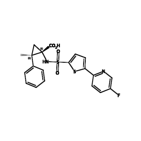 C[C@]1(c2ccccc2)C[C@@]1(NS(=O)(=O)c1ccc(-c2ccc(F)cn2)s1)C(=O)O